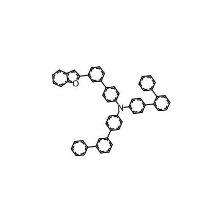 c1ccc(-c2cccc(-c3ccc(N(c4ccc(-c5cccc(-c6cc7ccccc7o6)c5)cc4)c4ccc(-c5ccccc5-c5ccccc5)cc4)cc3)c2)cc1